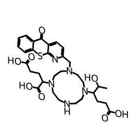 CC(O)C(CCC(=O)O)N1CCNCCN(C(CCC(=O)O)C(=O)O)CCN(Cc2ccc3c(=O)c4ccccc4sc3n2)CC1